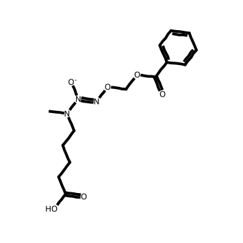 CN(CCCCC(=O)O)/[N+]([O-])=N/OCOC(=O)c1ccccc1